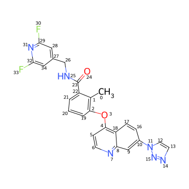 Cc1c(Oc2ccnc3cc(-n4ccnn4)ccc23)cccc1C(=O)NCc1cc(F)nc(F)c1